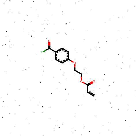 C=CC(=O)OCCOc1ccc(C(=O)Cl)cc1